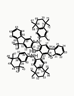 Cc1cc2c(cc1N1c3cc4c(cc3Bc3c1cc1c(sc5ccccc51)c3-c1cc3c(cc1Nc1ccc5c(c1)C(C)(C)CCC5(C)C)C(C)(C)CCC3(C)C)C(C)(C)c1ccccc1-4)C(C)(C)CCC2(C)C